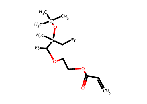 C=CC(=O)OCCOC(CC)[Si](C)(CC(C)C)O[Si](C)(C)C